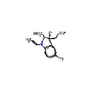 C=CN1c2ccc(Cl)cc2C(CC)(CC(=O)O)C1C(=O)OCC